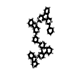 c1ccc(-c2ncc3c4ccccc4c4cnc(-n5c6ccccc6c6cc(-c7cccc(-c8ncc9c%10ccccc%10c%10cnc(-n%11c%12ccccc%12c%12cnccc%12%11)nc%10c9n8)c7)ncc65)nc4c3n2)cc1